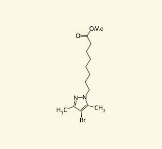 COC(=O)CCCCCCCn1nc(C)c(Br)c1C